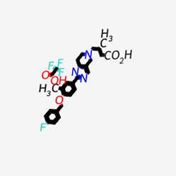 Cc1cc(-c2ncc3c(n2)CCN(CC(C)CC(=O)O)C3)ccc1OCc1ccc(F)cc1.O=C(O)C(F)(F)F